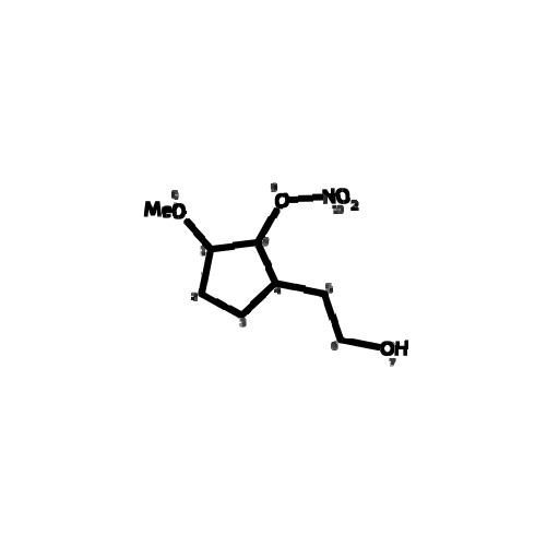 COC1CCC(CCO)C1O[N+](=O)[O-]